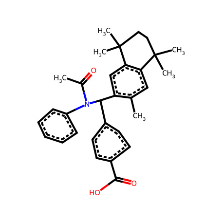 CC(=O)N(c1ccccc1)C(c1ccc(C(=O)O)cc1)c1cc2c(cc1C)C(C)(C)CCC2(C)C